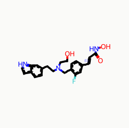 O=C(/C=C/c1ccc(CN(CCO)CCc2ccc3cc[nH]c3c2)c(F)c1)NO